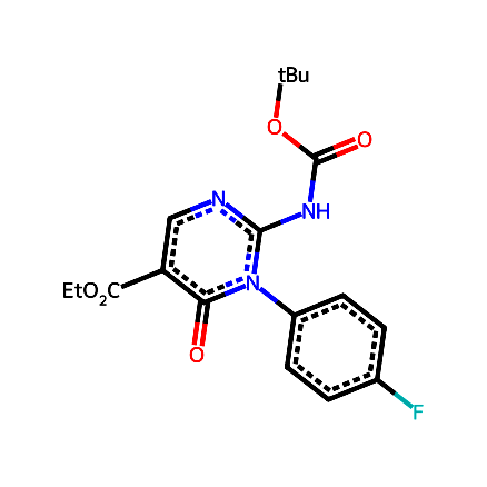 CCOC(=O)c1cnc(NC(=O)OC(C)(C)C)n(-c2ccc(F)cc2)c1=O